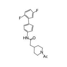 CC(=O)N1CCC(CC(=O)Nc2ccc(-c3cc(F)ccc3F)cc2)CC1